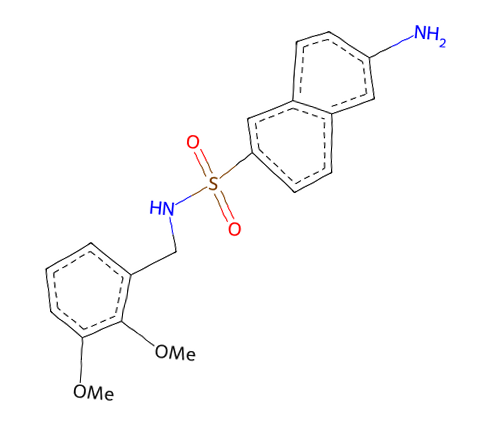 COc1cccc(CNS(=O)(=O)c2ccc3cc(N)ccc3c2)c1OC